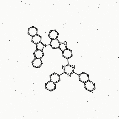 c1ccc2cc(-c3nc(-c4ccc5ccccc5c4)nc(-c4ccc5oc6c7ccccc7c(-n7c8cc9ccccc9cc8c8cc9ccccc9cc87)cc6c5c4)n3)ccc2c1